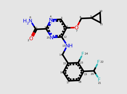 NC(=O)c1ncc(OCC2CC2)c(NCc2cccc(C(F)F)c2F)n1